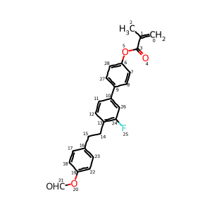 C=C(C)C(=O)Oc1ccc(-c2ccc(CCc3ccc(OC=O)cc3)c(F)c2)cc1